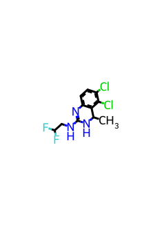 CC1NC(NCC(F)F)=Nc2ccc(Cl)c(Cl)c21